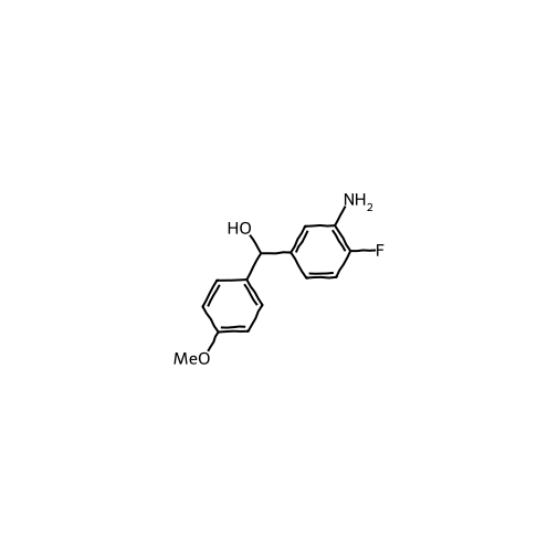 COc1ccc(C(O)c2ccc(F)c(N)c2)cc1